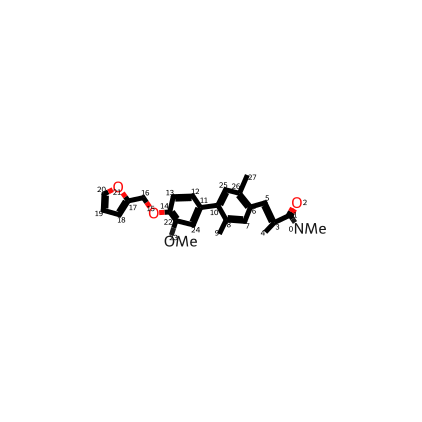 CNC(=O)/C(C)=C/c1cc(C)c(-c2ccc(OCc3ccco3)c(OC)c2)cc1C